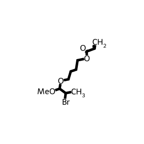 C=CC(=O)OCCCCOC(OC)C(C)Br